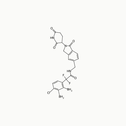 Bc1c(Cl)ccc(C(F)(F)C(=O)NCc2ccc3c(c2)CN(C2CCC(=O)NC2=O)C3=O)c1B